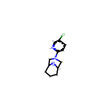 Clc1ccc(N2CC3CCCC(C2)N3)nc1